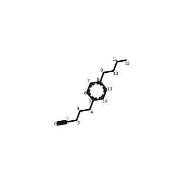 [C]#CCCCc1ccc(CCCC)cc1